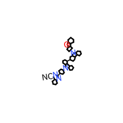 N#Cc1nc(-c2ccc(-n3c4ccccc4c4c(-c5ccc6c7ccccc7n(-c7ccc8oc9ccccc9c8c7)c6c5)cccc43)cc2)nc2ccccc12